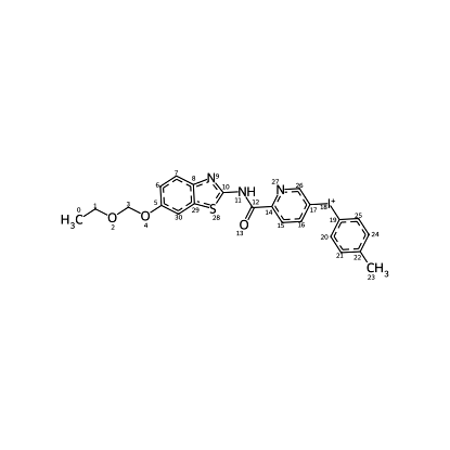 CCOCOc1ccc2nc(NC(=O)c3ccc([I+]c4ccc(C)cc4)cn3)sc2c1